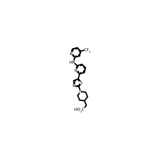 O=C(O)CC1CCN(c2ncc(-c3cccc(Nc4cc(C(F)(F)F)ccn4)n3)s2)CC1